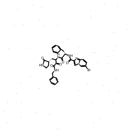 O=C(NCc1ccccc1)C(=O)C(C[C@@H]1CCNC1=O)NC(=O)[C@H](Cc1ccccc1)NC(=O)c1cn2cc(Br)ccc2n1